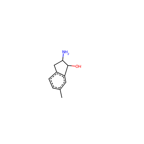 Cc1ccc2c(c1)C(O)C(N)C2